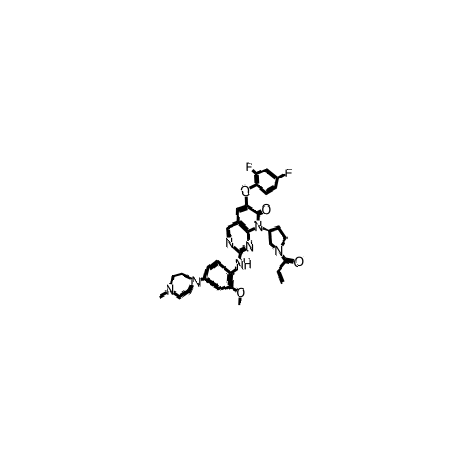 C=CC(=O)N1CC[C@H](n2c(=O)c(Oc3ccc(F)cc3F)cc3cnc(Nc4ccc(N5CCN(C)CC5)cc4OC)nc32)C1